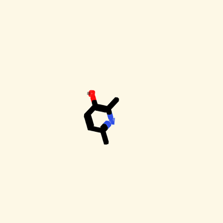 Cc1ccc([O])c(C)n1